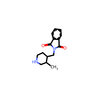 CC1CNCCC1CN1C(=O)c2ccccc2C1=O